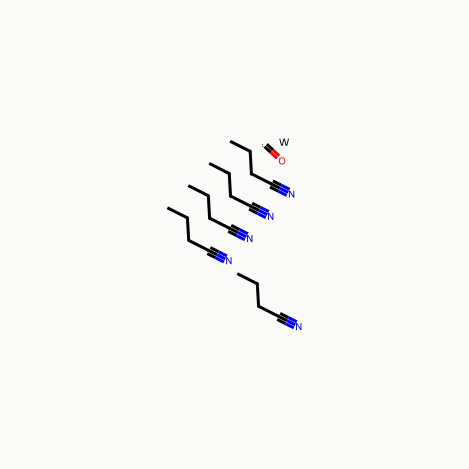 CCCC#N.CCCC#N.CCCC#N.CCCC#N.CCCC#N.[C]=O.[W]